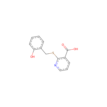 O=C(O)c1cccnc1SCc1ccccc1O